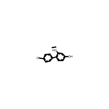 CC.Oc1ccc(-c2ccc(Cl)cc2)c(O)c1